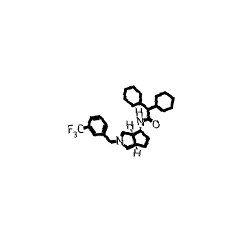 O=C(N[C@@H]1CC[C@H]2CN(Cc3cccc(C(F)(F)F)c3)C[C@H]21)C(C1CCCCC1)C1CCCCC1